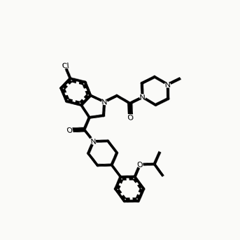 CC(C)Oc1ccccc1C1CCN(C(=O)C2CN(CC(=O)N3CCN(C)CC3)c3cc(Cl)ccc32)CC1